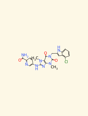 Cn1c(Nc2ccc(C(N)=O)nc2)nc2c1c(=O)n(Cc1cc3c(Cl)cccc3[nH]1)c(=O)n2C